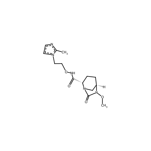 CON1C(=O)N2C[C@H]1CC[C@H]2C(=O)NOCCn1ccnc1C